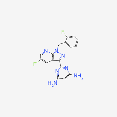 Nc1[c]c(N)nc(-c2nn(Cc3ccccc3F)c3ncc(F)cc23)n1